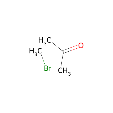 CBr.CC(C)=O